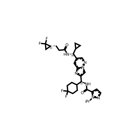 CC(C)n1nccc1C(=O)N[C@H](c1cn2ncc([C@H](NC(=O)CC[C@@H]3CC3(F)F)C3CC3)cc2n1)C1CCC(F)(F)CC1